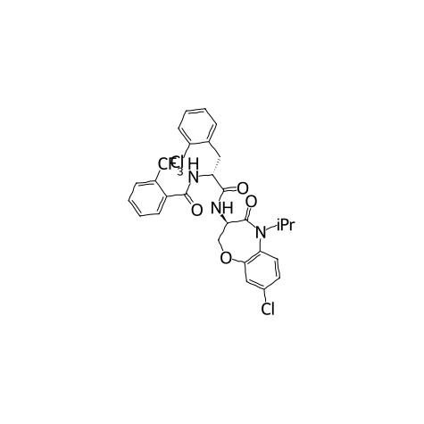 CC(C)N1C(=O)[C@H](NC(=O)[C@@H](Cc2ccccc2Cl)NC(=O)c2ccccc2C(F)(F)F)COc2cc(Cl)ccc21